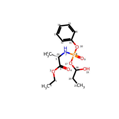 CCOC(=O)[C@H](C)NP(=O)(Oc1ccccc1)OC(O)CC